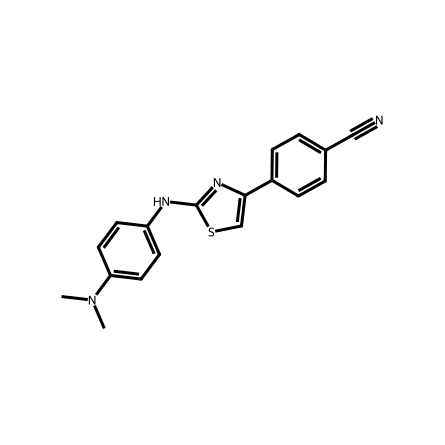 CN(C)c1ccc(Nc2nc(-c3ccc(C#N)cc3)cs2)cc1